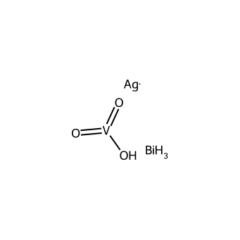 [Ag].[BiH3].[O]=[V](=[O])[OH]